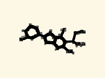 CCOC(=O)C(OC(C)(C)C)c1c(C)nc2cc(-c3cccc(Br)c3)nn2c1Cl